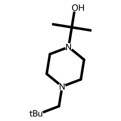 CC(C)(C)CN1CCN(C(C)(C)O)CC1